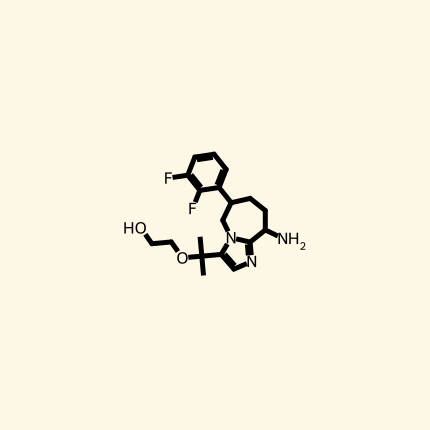 CC(C)(OCCO)c1cnc2n1CC(c1cccc(F)c1F)CCC2N